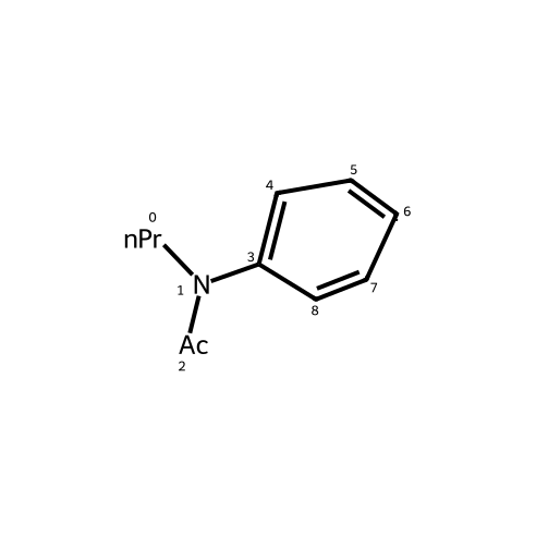 CCCN(C(C)=O)c1cc[c]cc1